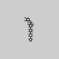 Fc1ccc(OC(F)(F)c2c(F)cc(-c3ccc(C4CCC(C5CCCC5)CO4)cc3)cc2F)cc1F